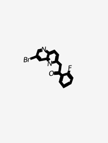 O=C(Cc1ccc2ncc(Br)cc2n1)c1ccccc1F